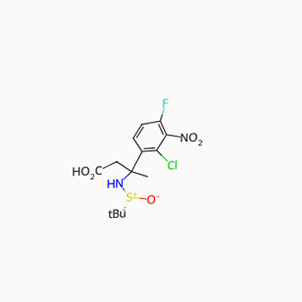 CC(CC(=O)O)(N[S@+]([O-])C(C)(C)C)c1ccc(F)c([N+](=O)[O-])c1Cl